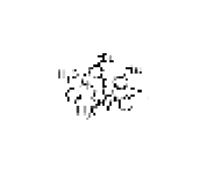 Cc1cc2c3c(c1)-n1c(-c4ccccc4)c(C)c4cc(C(C)(C)C)cc(c41)B3c1cc(C(C)(C)C)cc3c1N2C1(C)CCCCC31C